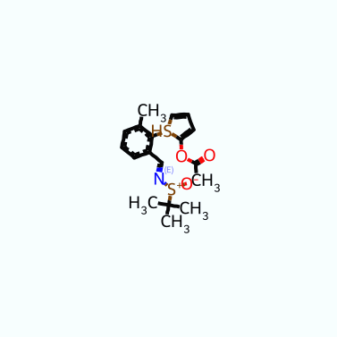 CC(=O)OC1=CC=C[SH]1c1c(C)cccc1/C=N/[S+]([O-])C(C)(C)C